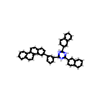 c1cc(-c2ccc3ccc4c5ccccc5ccc4c3c2)cc(-c2nc(-c3ccc4ccccc4c3)nc(-c3ccc4ccccc4c3)n2)c1